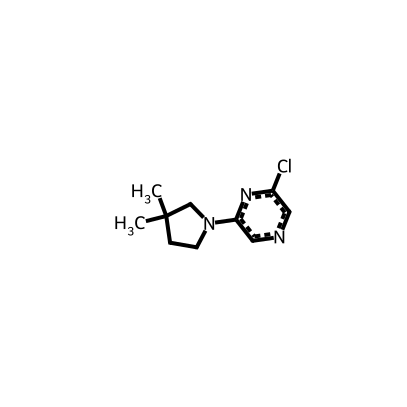 CC1(C)CCN(c2cncc(Cl)n2)C1